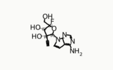 C#C[C@]1(O)[C@H](n2ccc3c(N)ncnc32)O[C@](F)(CO)[C@H]1O